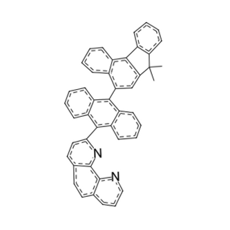 CC1(C)c2ccccc2-c2c1cc(-c1c3ccccc3c(-c3ccc4ccc5cccnc5c4n3)c3ccccc13)c1ccccc21